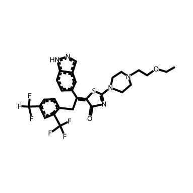 CCOCCN1CCN(C2=NC(=O)C(=C(Cc3ccc(C(F)(F)F)cc3C(F)(F)F)c3ccc4[nH]ncc4c3)S2)CC1